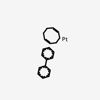 C1=C\CC/C=C\CC/1.[Pt].c1ccc(-c2ccccc2)cc1